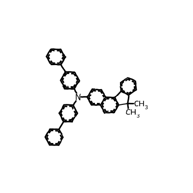 CC1(C)c2ccccc2-c2c1ccc1cc(N(c3ccc(-c4ccccc4)cc3)c3ccc(-c4ccccc4)cc3)ccc21